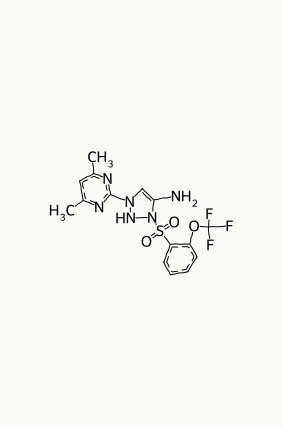 Cc1cc(C)nc(N2C=C(N)N(S(=O)(=O)c3ccccc3OC(F)(F)F)N2)n1